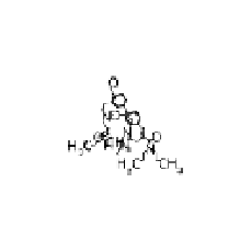 CCCN(CCC)C(=O)C1=Cc2ccc(-c3ccc(C=O)c(/C=C\N(C)CCP(C)OCC)c3)cc2N=C(N)C1